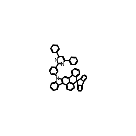 c1ccc(-c2cc(-c3ccccc3)nc(-c3cccc(-n4c5ccccc5c5c6cccc7c6c(cc54)-c4ccccc4C74c5ccccc5-c5ccccc54)c3)n2)cc1